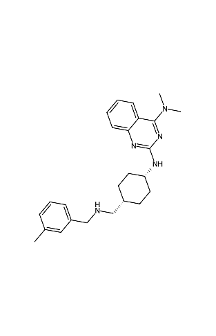 Cc1cccc(CNC[C@H]2CC[C@@H](Nc3nc(N(C)C)c4ccccc4n3)CC2)c1